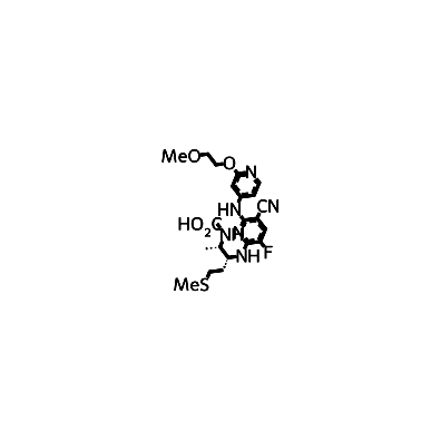 COCCOc1cc(Nc2nc(N[C@H](CCSC)[C@H](C)NC(=O)O)c(F)cc2C#N)ccn1